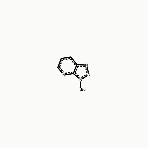 CC(C)(C)n1nnc2cccnc21